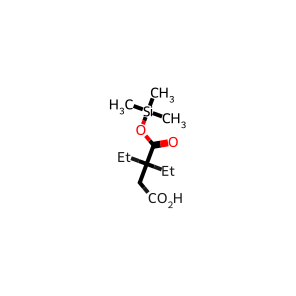 CCC(CC)(CC(=O)O)C(=O)O[Si](C)(C)C